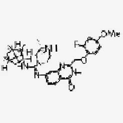 COc1ccc(OCc2nc3cc(N=C(N[C@H]4C[C@@H]5C[C@@H]([C@H]4C)C5(C)C)N4CCN[C@@H](C)C4)ccc3c(=O)n2C)c(F)c1